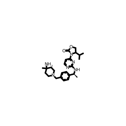 CC(C)C1COC(=O)N1c1ccnc(N[C@@H](C)c2ccc(CN3CCC(C)(N)CC3)cc2)n1